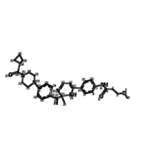 COCCC(=O)Nc1ccc(C2=CC=NC(C)(Nc3ccc(N4CCN(C(=O)C5CCC5)CC4)cc3)N2)cc1